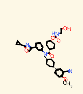 COc1ccc([C@H]2CC[C@H](CN(c3cccc(-c4coc(C5CC5)n4)c3)C(=O)[C@H]3CC[C@H](OC(=O)NCCO)CC3)CC2)cc1C#N